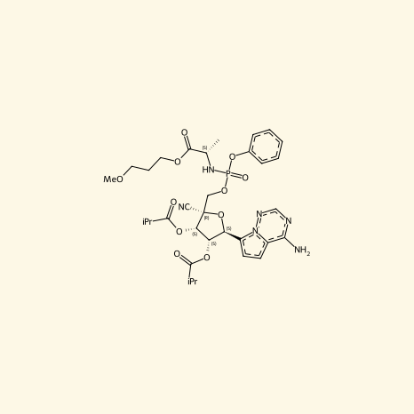 COCCCOC(=O)[C@H](C)NP(=O)(OC[C@@]1(C#N)O[C@@H](c2ccc3c(N)ncnn23)[C@H](OC(=O)C(C)C)[C@@H]1OC(=O)C(C)C)Oc1ccccc1